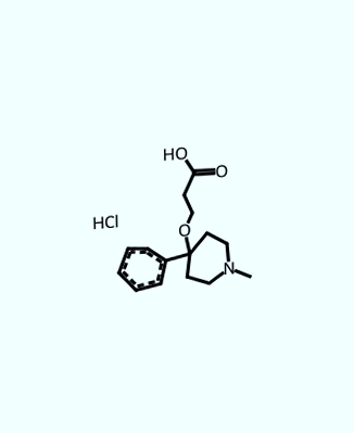 CN1CCC(OCCC(=O)O)(c2ccccc2)CC1.Cl